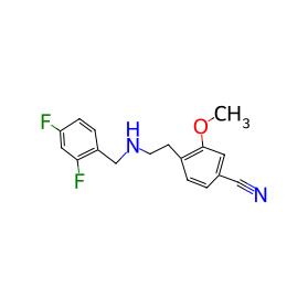 COc1cc(C#N)ccc1CCNCc1ccc(F)cc1F